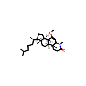 COC1=CC2N(C)C(=O)CC[C@]2(C)[C@H]2CC[C@]3(C)[C@@H]([C@H](C)CCCC(C)C)CC[C@H]3[C@H]12